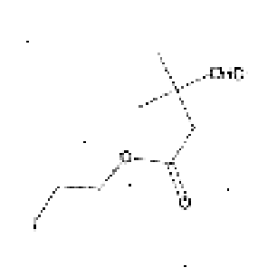 CC(C)([C]=O)CC(=O)OCCI